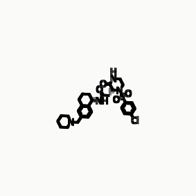 O=C(C[C@@H]1C(=O)NCCN1S(=O)(=O)c1ccc(Cl)cc1)N[C@@H]1CCCc2cc(CN3CCCCC3)ccc21